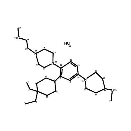 CCC1(CC)CCC(c2cc(N3CCC(OC)CC3)ccc2N2CCN(CCOC)CC2)CC1.Cl